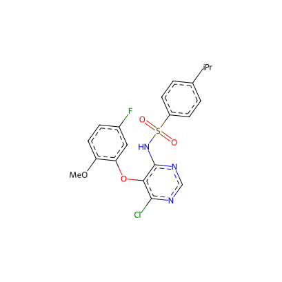 COc1ccc(F)cc1Oc1c(Cl)ncnc1NS(=O)(=O)c1ccc(C(C)C)cc1